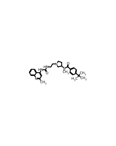 Cc1cc(NC(=O)NCCN2CCC(N(C)C(=O)c3ccc(C(C)(C)C)cc3)C2)c2ccccc2n1